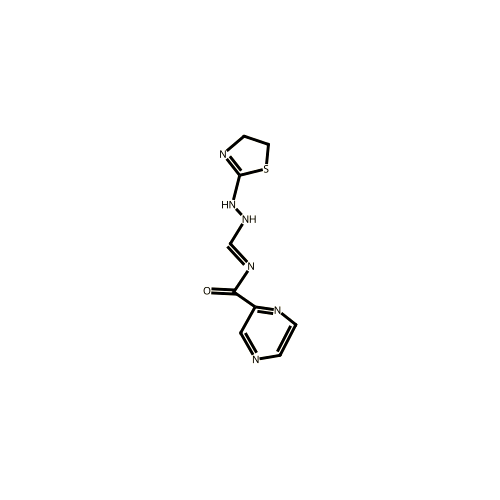 O=C(N=CNNC1=NCCS1)c1cnccn1